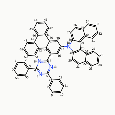 c1ccc(-c2nc(-c3ccccc3)nc(-c3cc(-n4c5ccc6ccccc6c5c5c6ccccc6ccc54)cc4c5ccccc5c5ccccc5c34)n2)cc1